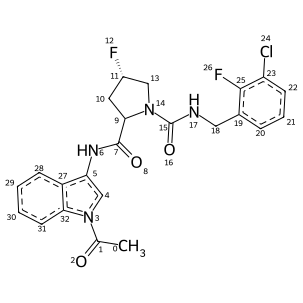 CC(=O)n1cc(NC(=O)C2C[C@H](F)CN2C(=O)NCc2cccc(Cl)c2F)c2ccccc21